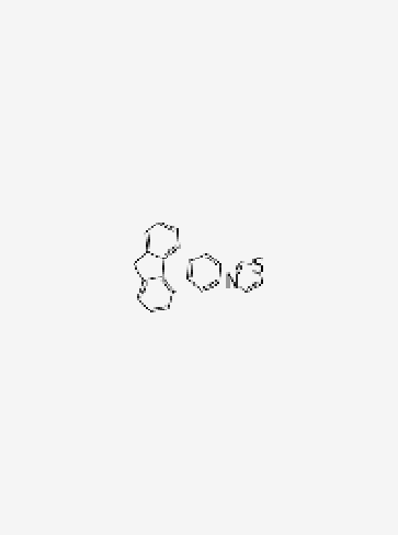 c1ccc2c(c1)Cc1ccccc1-2.c1ccccc1.c1cscn1